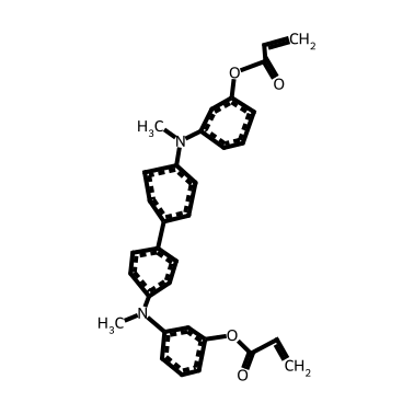 C=CC(=O)Oc1cccc(N(C)c2ccc(-c3ccc(N(C)c4cccc(OC(=O)C=C)c4)cc3)cc2)c1